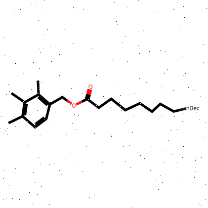 CCCCCCCCCCCCCCCCCC(=O)OCc1ccc(C)c(C)c1C